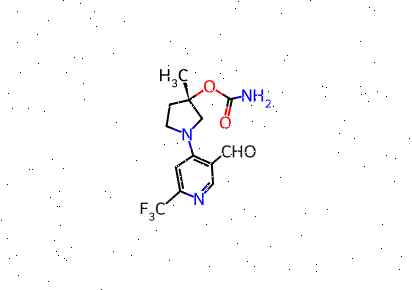 C[C@]1(OC(N)=O)CCN(c2cc(C(F)(F)F)ncc2C=O)C1